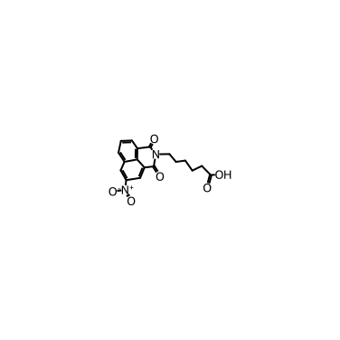 O=C(O)CCCCCN1C(=O)c2cccc3cc([N+](=O)[O-])cc(c23)C1=O